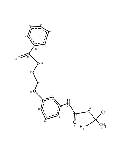 CC(C)(C)OC(=O)Nc1cccc(OCCOC(=O)c2ccccc2)c1